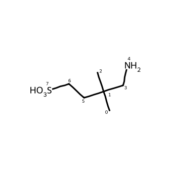 CC(C)(CN)CCS(=O)(=O)O